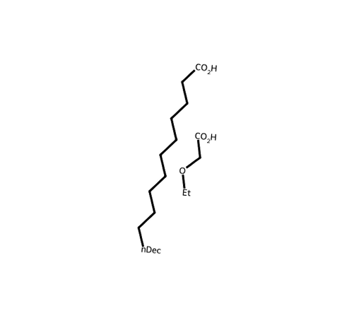 CCCCCCCCCCCCCCCCCCCC(=O)O.CCOCC(=O)O